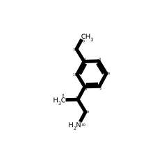 CCc1cccc(C(C)CN)c1